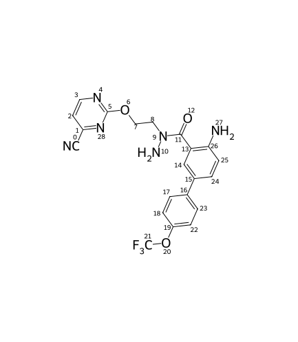 N#Cc1ccnc(OCCN(N)C(=O)c2cc(-c3ccc(OC(F)(F)F)cc3)ccc2N)n1